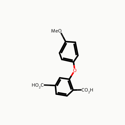 COc1ccc(Oc2cc(C(=O)O)ccc2C(=O)O)cc1